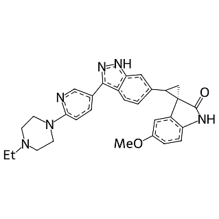 CCN1CCN(c2ccc(-c3n[nH]c4cc(C5C[C@@]56C(=O)Nc5ccc(OC)cc56)ccc34)cn2)CC1